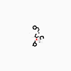 COc1ccc(C(C)(C)C)cc1CN[C@H]1[C@H](C(C)(C)C)[C@@H](C(=O)O)N(C(=O)[C@H]2CCc3cc(F)ccc3O2)[C@H]1c1cccnc1N(C)C